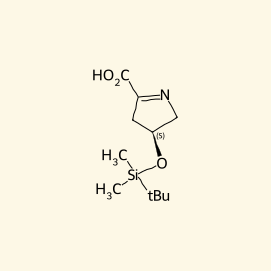 CC(C)(C)[Si](C)(C)O[C@@H]1CN=C(C(=O)O)C1